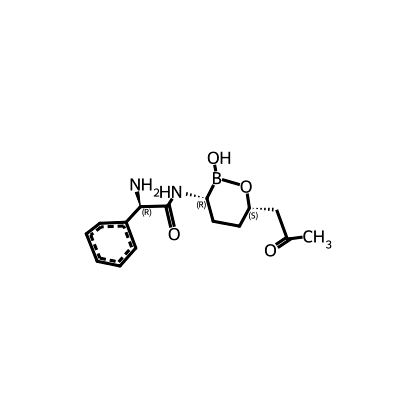 CC(=O)C[C@@H]1CC[C@H](NC(=O)[C@H](N)c2ccccc2)B(O)O1